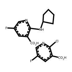 O=C(O)c1cc(F)cnc1Cl.O=C(O)c1cc(F)cnc1NC1CCCC1